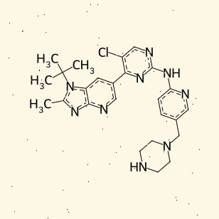 Cc1nc2ncc(-c3nc(Nc4ccc(CN5CCNCC5)cn4)ncc3Cl)cc2n1C(C)(C)C